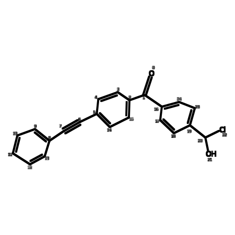 O=C(c1ccc(C#Cc2ccccc2)cc1)c1ccc(C(O)Cl)cc1